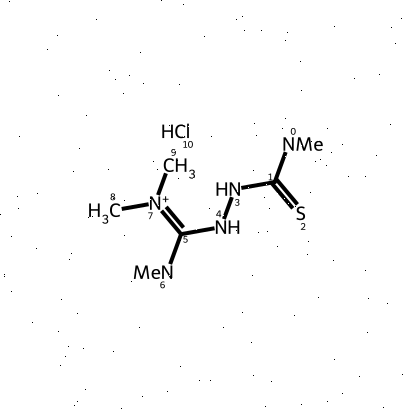 CNC(=S)NNC(NC)=[N+](C)C.Cl